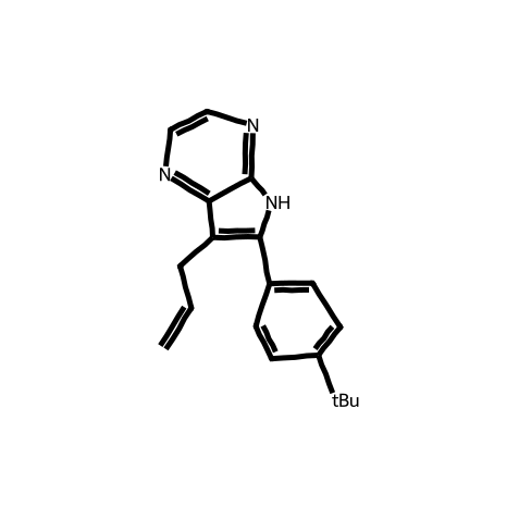 C=CCc1c(-c2ccc(C(C)(C)C)cc2)[nH]c2nccnc12